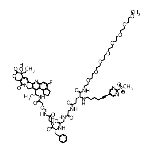 CC[C@@]1(O)C(=O)OCc2c1cc1n(c2=O)Cc2c-1nc1cc(F)c3c(c1c2[C@H](C)NC(=O)COCNC(=O)CNC(=O)[C@H](Cc1ccccc1)NC(=O)CNC(=O)CNC(=O)CC[C@H](NCCCCC#Cc1cnc(S(C)(=O)=O)nc1)C(=O)NCCOCCOCCOCCOCCOCCOCCOCCOC)CCC3